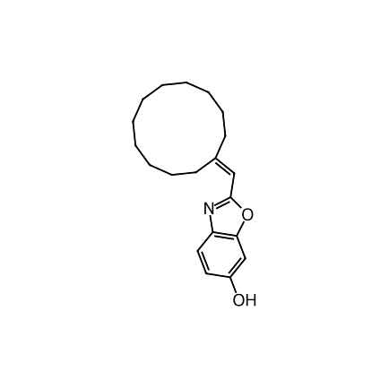 Oc1ccc2nc(C=C3CCCCCCCCCCC3)oc2c1